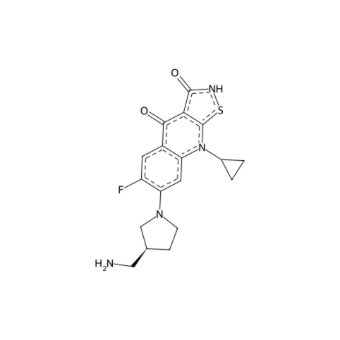 NC[C@@H]1CCN(c2cc3c(cc2F)c(=O)c2c(=O)[nH]sc2n3C2CC2)C1